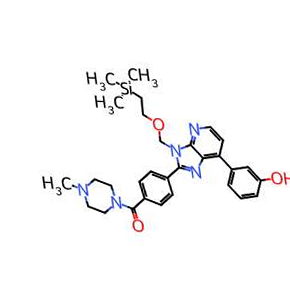 CN1CCN(C(=O)c2ccc(-c3nc4c(-c5cccc(O)c5)ccnc4n3COCC[Si](C)(C)C)cc2)CC1